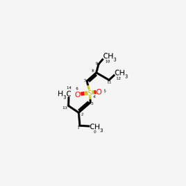 CCC(=CS(=O)(=O)C=C(CC)CC)CC